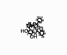 Oc1cc(O)c(-c2ccnn2C2=COC=C(C3=CC=CCC3)O2)cc1CCc1ccccc1Cl